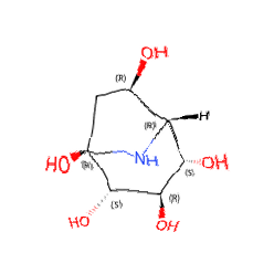 O[C@@H]1[C@@H](O)[C@H](O)[C@]2(O)C[C@@H](O)[C@H]1N2